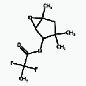 CC(F)(F)C(=O)OC1C2OC2(C)CC1(C)C